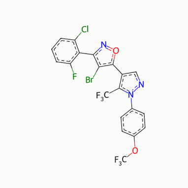 Fc1cccc(Cl)c1-c1noc(-c2cnn(-c3ccc(OC(F)(F)F)cc3)c2C(F)(F)F)c1Br